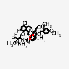 C=C(OCc1ccc(OC)cc1OC)[C@@]1(C)CCCCC1/C(=C/CC)N1CCc2c(Cl)cc(F)c(OC/C(N)=C(\C(F)F)N(C)N)c2C1CN1CCCC1=O